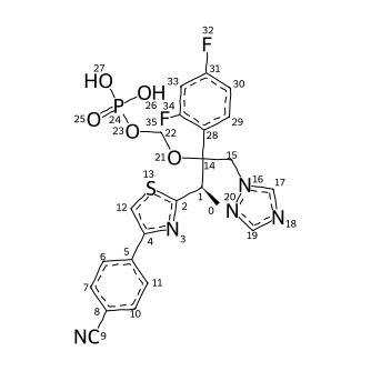 C[C@@H](c1nc(-c2ccc(C#N)cc2)cs1)C(Cn1cncn1)(OCOP(=O)(O)O)c1ccc(F)cc1F